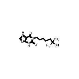 CC(C)(O)CCCCCn1c(=O)[nH]c2nc[nH]c2c1=O